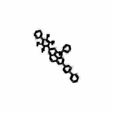 Fc1c(F)c(-c2cc3ccc4cc(-c5ccc(-c6ccccc6)cc5)cc5c4c3c(c2)n5-c2ccccc2)c(F)c(F)c1-c1ccccc1